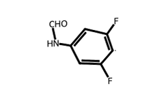 O=CNc1cc(F)[c]c(F)c1